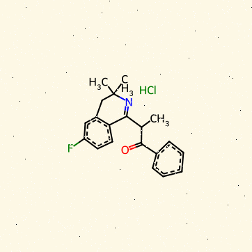 CC(C(=O)c1ccccc1)C1=NC(C)(C)Cc2cc(F)ccc21.Cl